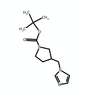 CC(C)(C)OC(=O)N1CCC(Cn2ccnc2)C1